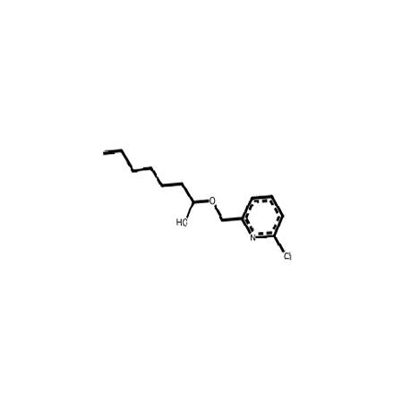 CCCCCCC(O)OCc1cccc(Cl)n1